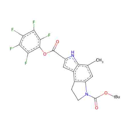 Cc1cc2c(c3cc(C(=O)Oc4c(F)c(F)c(F)c(F)c4F)[nH]c13)CCN2C(=O)OC(C)(C)C